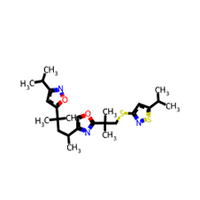 CC(C)c1cc(C(C)(C)CC(C)c2coc(C(C)(C)CSc3cc(C(C)C)sn3)n2)on1